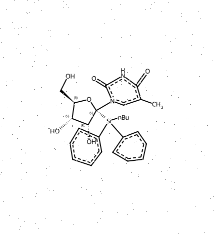 CCCC[Si](c1ccccc1)(c1ccccc1)[C@@]1(n2cc(C)c(=O)[nH]c2=O)O[C@H](CO)[C@@H](O)[C@H]1O